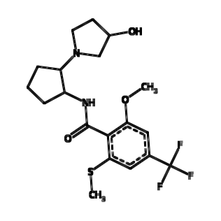 COc1cc(C(F)(F)F)cc(SC)c1C(=O)NC1CCCC1N1CCC(O)C1